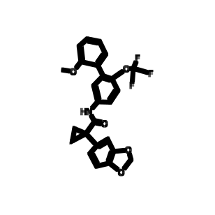 COc1ccccc1-c1cc(NC(=O)C2(c3ccc4c(c3)OCO4)CC2)ccc1OC(F)(F)F